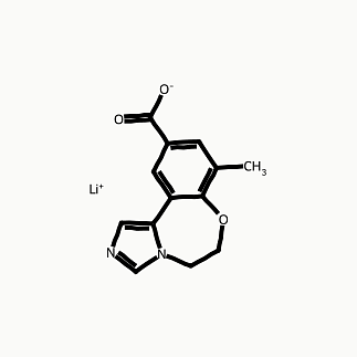 Cc1cc(C(=O)[O-])cc2c1OCCn1cncc1-2.[Li+]